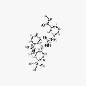 COC(=O)c1cccc(NC(=O)NC(c2ccc(C(F)(F)F)cc2)c2ncccc2C(F)(F)F)c1